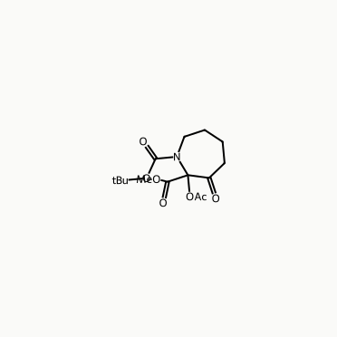 COC(=O)C1(OC(C)=O)C(=O)CCCCN1C(=O)OC(C)(C)C